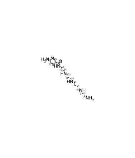 NCCCNCCCCNCCCNCCCNC(=O)c1ccc(N)nc1